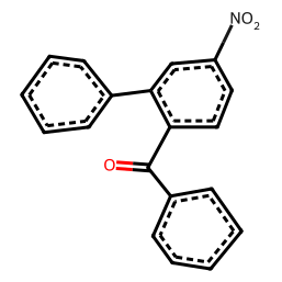 O=C(c1ccccc1)c1ccc([N+](=O)[O-])cc1-c1ccccc1